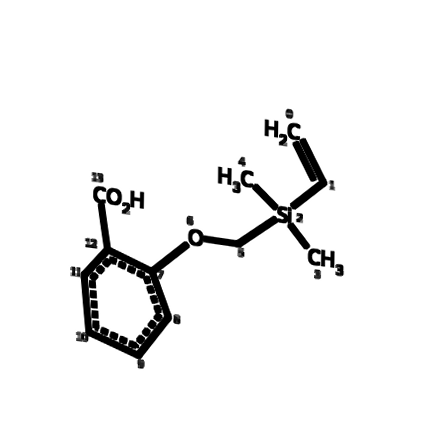 C=C[Si](C)(C)COc1ccccc1C(=O)O